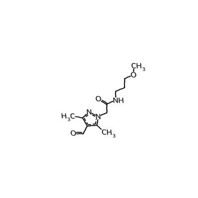 COCCCNC(=O)Cn1nc(C)c(C=O)c1C